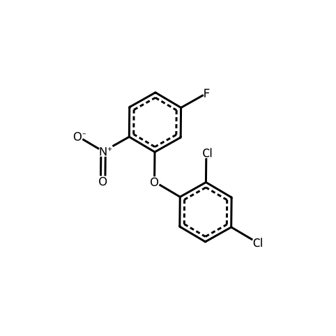 O=[N+]([O-])c1ccc(F)cc1Oc1ccc(Cl)cc1Cl